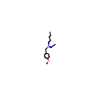 CCCCCN(CC)Cc1ccc(OC)cc1